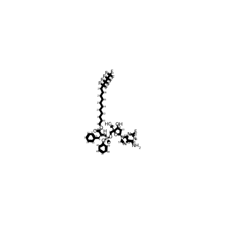 C#C[C@]1(COP(=O)(N[C@@H](Cc2ccccc2)C(=O)OCCCCCCCCCCCC(F)(F)C(F)(F)C(F)(F)C(F)(F)F)Oc2ccccc2)O[C@@H](n2cnc3c(N)nc(F)nc32)C[C@@H]1O